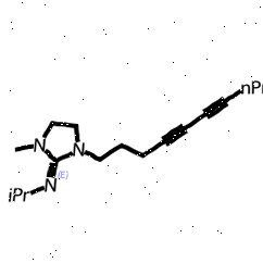 CCCC#CC#CCCCN1CCN(C)/C1=N\C(C)C